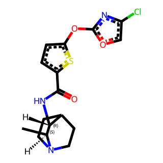 C[C@H]1[C@H](NC(=O)c2ccc(Oc3nc(Cl)co3)s2)C2CCN1CC2